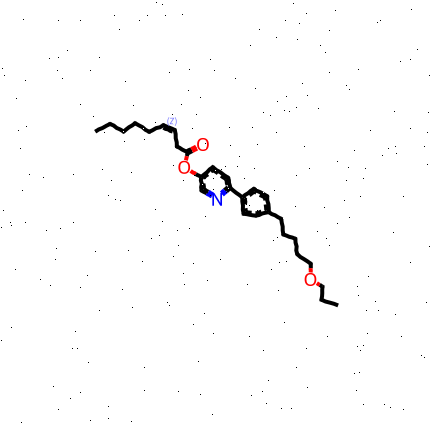 CCCCC/C=C\CC(=O)Oc1ccc(-c2ccc(CCCCCOCCC)cc2)nc1